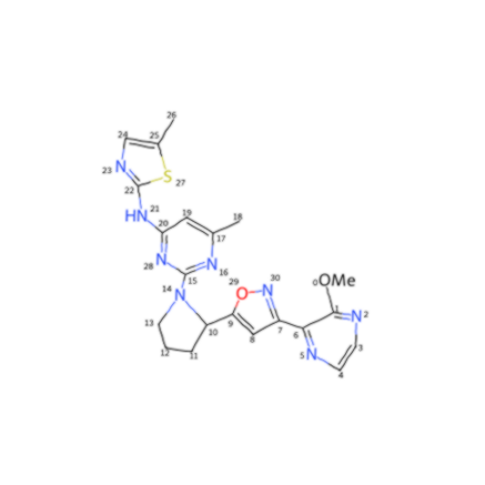 COc1nccnc1-c1cc(C2CCCN2c2nc(C)cc(Nc3ncc(C)s3)n2)on1